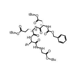 CC(C)C(NC(=O)[C@H](CCC(=O)OC(C)(C)C)NC(=O)[C@H](CC(=O)OC(C)(C)C)NC(=O)OCc1ccccc1)C(=O)NNCC(=O)OC(C)(C)C